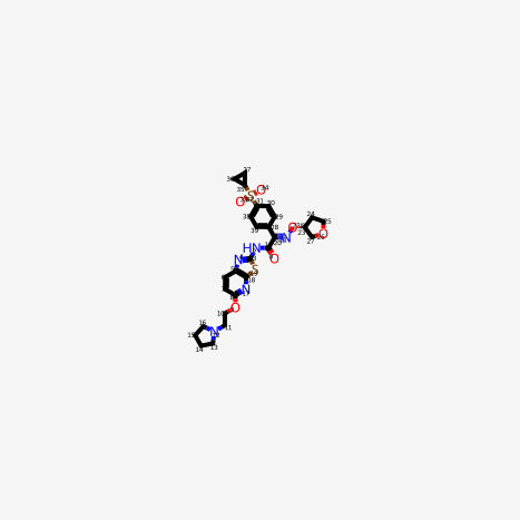 O=C(Nc1nc2ccc(OCCN3CCCC3)nc2s1)/C(=N/O[C@@H]1CCOC1)c1ccc(S(=O)(=O)C2CC2)cc1